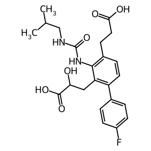 CC(C)CNC(=O)Nc1c(CCC(=O)O)ccc(-c2ccc(F)cc2)c1CC(O)C(=O)O